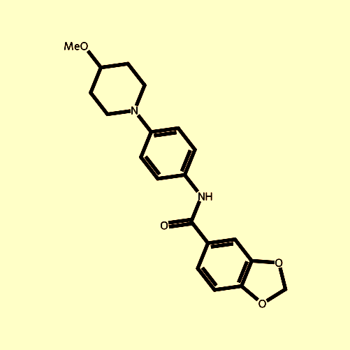 COC1CCN(c2ccc(NC(=O)c3ccc4c(c3)OCO4)cc2)CC1